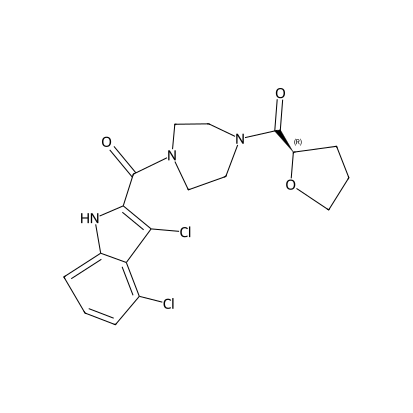 O=C(c1[nH]c2cccc(Cl)c2c1Cl)N1CCN(C(=O)[C@H]2CCCO2)CC1